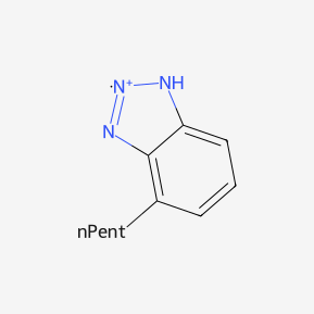 CCCCCc1cccc2c1N=[N+]N2